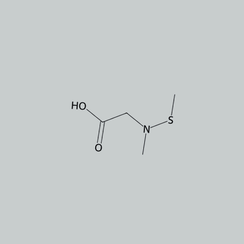 CSN(C)CC(=O)O